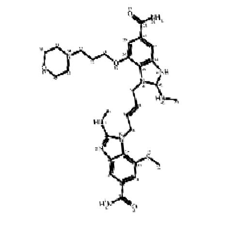 CNc1nc2cc(C(N)=O)cc(SC)c2n1C/C=C/CN1c2c(cc(C(N)=O)cc2OCCCN2CCOCC2)NC1NC